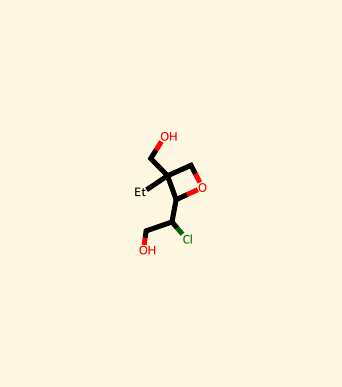 CCC1(CO)COC1C(Cl)CO